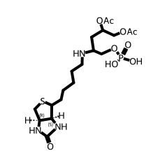 CC(=O)OCC(CC(COP(=O)(O)O)NCCCCCC1SC[C@@H]2NC(=O)N[C@H]12)OC(C)=O